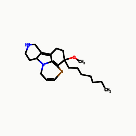 CCCCCCCC1(OC)CCC2=C3CNCCC3N3CC=CSC1=C23